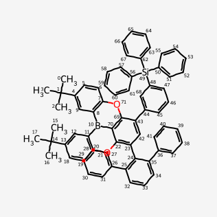 CC(C)(C)c1ccc2c(c1)B1c3cc(C(C)(C)C)ccc3Oc3c(-c4c(-c5ccccc5)cccc4-c4ccccc4)cc(-c4cccc([Si](c5ccccc5)(c5ccccc5)c5ccccc5)c4)c(c31)O2